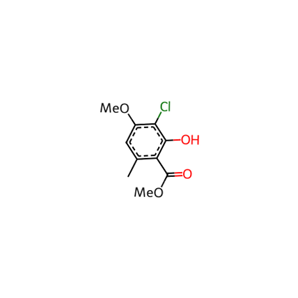 COC(=O)c1c(C)cc(OC)c(Cl)c1O